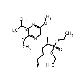 CCOP(=O)(OCC)C(CCCF)C[C@@H]1N=C(OC)[C@@H](C(C)C)N=C1OC